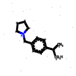 CC(C(=O)O)c1ccc(CN2CCCC2)cc1